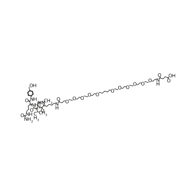 CN[C@@H](CCCCNC(=O)CCOCCOCCOCCOCCOCCCCCOCCOCCOCCOCCOCCOCCNC(=O)CCC(=O)O)C(=O)N[C@H](C(=O)N[C@@H](CCCNC(N)=O)C(=O)Nc1ccc(CO)cc1)C(C)C